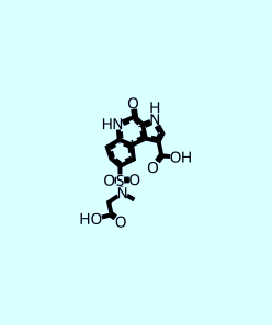 CN(CC(=O)O)S(=O)(=O)c1ccc2[nH]c(=O)c3[nH]cc(C(=O)O)c3c2c1